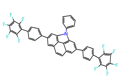 Fc1c(F)c(F)c(-c2ccc(-c3cc4ccc5cc(-c6ccc(-c7c(F)c(F)c(F)c(F)c7F)cc6)cc6c5c4c(c3)n6-c3ccccc3)cc2)c(F)c1F